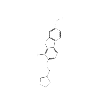 CCOc1ccc2c(c1)sc1c(F)c(OCC3CCCC3)ccc12